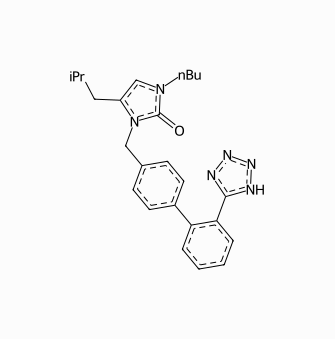 CCCCn1cc(CC(C)C)n(Cc2ccc(-c3ccccc3-c3nnn[nH]3)cc2)c1=O